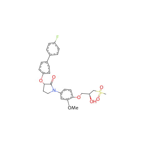 COc1cc(N2CCC(Oc3ccc(-c4ccc(F)cc4)cc3)C2=O)ccc1OC[C@H](O)CS(C)(=O)=O